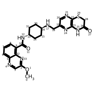 COc1cnc2cccc(C(=O)N[C@H]3CC[C@H](NCc4cnc5c(n4)NC(=O)CS5)CC3)c2n1